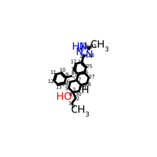 CCC[C@@]1(O)CC[C@@]2(Cc3ccccc3)c3ccc(-c4n[nH]c(C)n4)cc3CC[C@@H]2C1